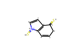 S=C1CC=CC2=C1C=C[N+]2=S